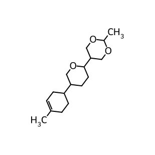 CC1=CCC(C2CCC(C3COC(C)OC3)OC2)CC1